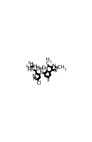 [2H]C([2H])([2H])NC(=O)c1nnc(Cl)cc1Nc1cc(F)cc2c1N(C)C(C)c1nn(C)nc1-2